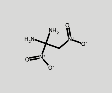 NC(N)(C[N+](=O)[O-])[N+](=O)[O-]